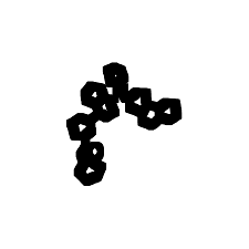 c1ccc(N(c2ccc3c(ccc4ccccc43)c2)c2ccc(-c3cccc(-c4cc5ccccc5o4)c3)c3ccccc23)cc1